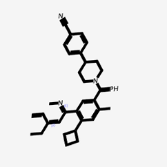 C=C/C(=C\C(=N/C)c1cc(C(=P)N2CCC(c3ccc(C#N)cc3)CC2)c(C)cc1C1CCC1)CC